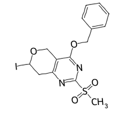 CS(=O)(=O)c1nc2c(c(OCc3ccccc3)n1)COC(I)C2